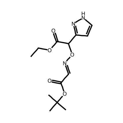 CCOC(=O)C(ON=CC(=O)OC(C)(C)C)c1cc[nH]n1